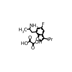 CC(N)Cc1cc(F)cc2c(C(C)C)coc12.O=C(O)C(=O)O